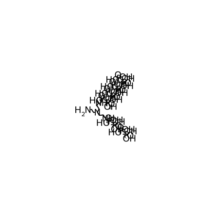 NCCN(CCN)CCN.O=P(O)(O)CP(=O)(O)O.O=P(O)(O)CP(=O)(O)O.O=P(O)(O)CP(=O)(O)O.O=P(O)(O)CP(=O)(O)O.O=P(O)(O)CP(=O)(O)O.O=P(O)(O)CP(=O)(O)O